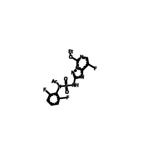 CCOc1ncc(F)c2nc(NS(=O)(=O)N(C(C)=O)c3c(F)cccc3F)nn12